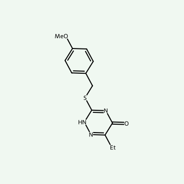 CCc1n[nH]c(SCc2ccc(OC)cc2)nc1=O